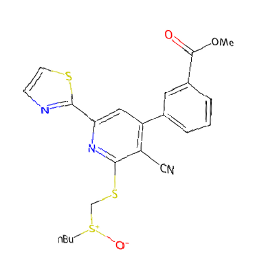 CCCC[S+]([O-])CSc1nc(-c2nccs2)cc(-c2cccc(C(=O)OC)c2)c1C#N